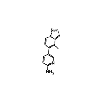 Cc1c(-c2ccc(N)nc2)ccn2nccc12